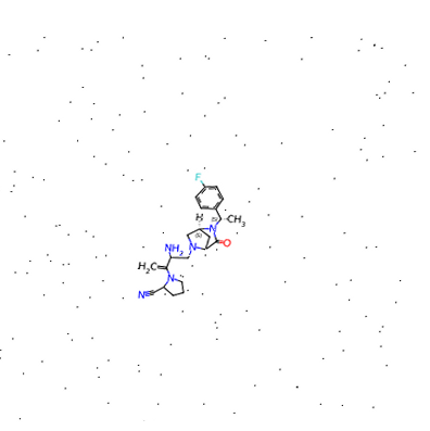 C=C(C(N)CN1C[C@@H]2CC1C(=O)N2[C@@H](C)c1ccc(F)cc1)N1CCCC1C#N